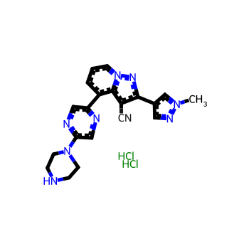 Cl.Cl.Cn1cc(-c2nn3cccc(-c4cnc(N5CCNCC5)cn4)c3c2C#N)cn1